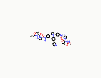 CCCC(=O)N[C@H](C(=O)N1CCC[C@H]1C(=O)Nc1ccc([C@@H]2CC[C@@H](c3ccc(NC(=O)[C@@H]4CCCN4C(=O)[C@@H](NC(=O)OC)C(C)C)cc3)N2c2ccc(-c3cccnc3)cc2)cc1)C(C)C